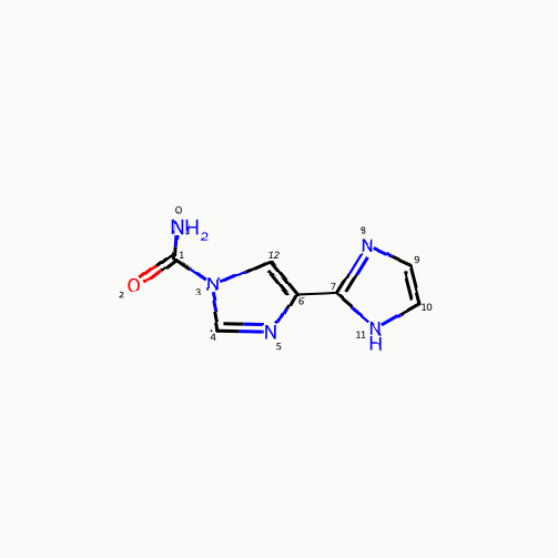 NC(=O)n1[c]nc(-c2ncc[nH]2)c1